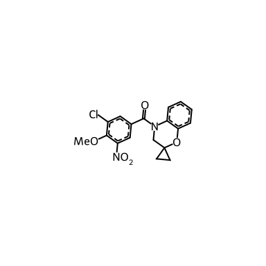 COc1c(Cl)cc(C(=O)N2CC3(CC3)Oc3ccccc32)cc1[N+](=O)[O-]